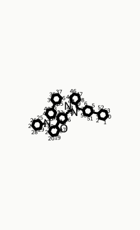 c1ccc(-c2ccc(-c3nc(-c4ccc5c(c4)oc4cccc(N(c6ccccc6)c6ccc(-c7ccccc7)cc6)c45)nc4ccccc34)cc2)cc1